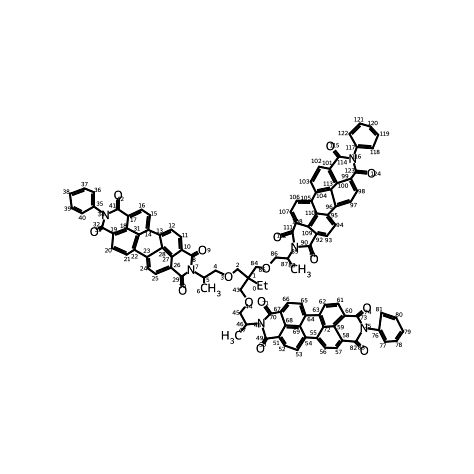 CCC(COCC(C)N1C(=O)c2ccc3c4ccc5c6c(ccc(c7ccc(c2c37)C1=O)c64)C(=O)N(c1ccccc1)C5=O)(COCC(C)N1C(=O)c2ccc3c4ccc5c6c(ccc(c7ccc(c2c37)C1=O)c64)C(=O)N(c1ccccc1)C5=O)COCC(C)N1C(=O)c2ccc3c4ccc5c6c(ccc(c7ccc(c2c37)C1=O)c64)C(=O)N(c1ccccc1)C5=O